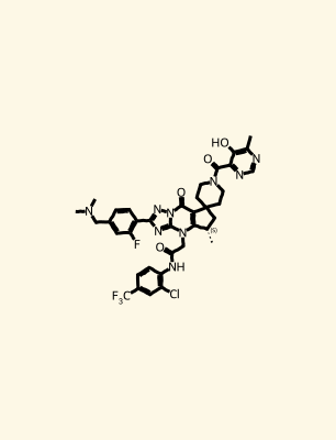 Cc1ncnc(C(=O)N2CCC3(CC2)C[C@H](C)c2c3c(=O)n3nc(-c4ccc(CN(C)C)cc4F)nc3n2CC(=O)Nc2ccc(C(F)(F)F)cc2Cl)c1O